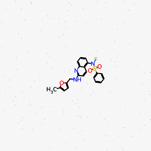 Cc1ccc(CNc2ccc3c(N(F)S(=O)(=O)c4ccccc4)cccc3n2)o1